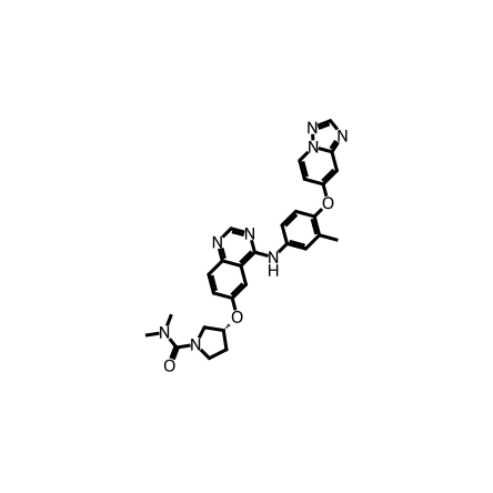 Cc1cc(Nc2ncnc3ccc(O[C@@H]4CCN(C(=O)N(C)C)C4)cc23)ccc1Oc1ccn2ncnc2c1